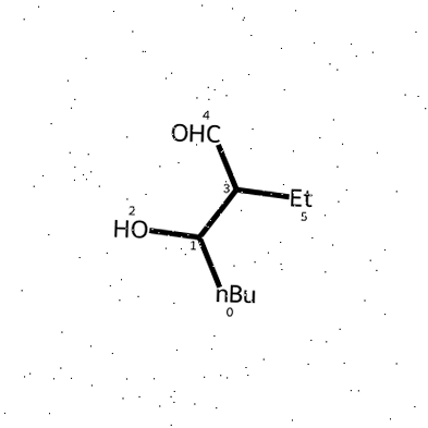 CCCCC(O)C(C=O)CC